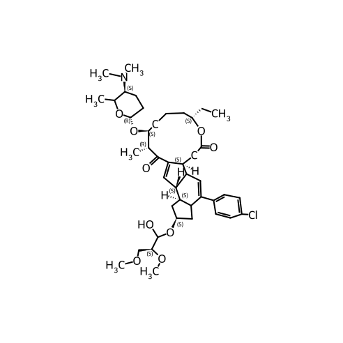 CC[C@H]1CCC[C@H](O[C@H]2CC[C@H](N(C)C)C(C)O2)[C@@H](C)C(=O)C2=C[C@@H]3C(C=C(c4ccc(Cl)cc4)C4C[C@@H](OC(O)[C@H](COC)OC)C[C@H]43)[C@@H]2CC(=O)O1